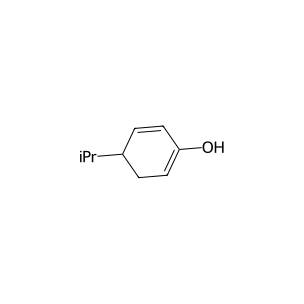 CC(C)C1C=CC(O)=CC1